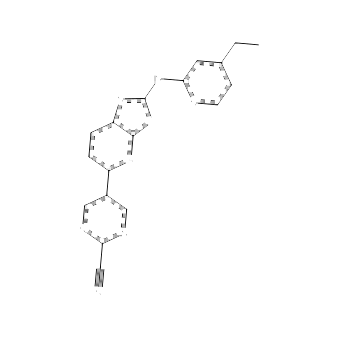 CCc1ccnc(Nc2nc3ccc(-c4cnc(C#N)nc4)nc3s2)c1